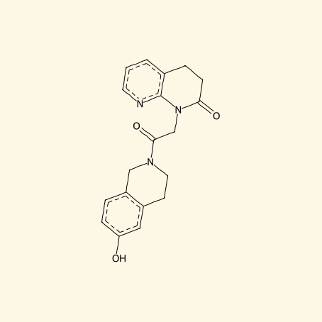 O=C(CN1C(=O)CCc2cccnc21)N1CCc2cc(O)ccc2C1